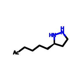 CC(=O)CCCC[C@@H]1CCNN1